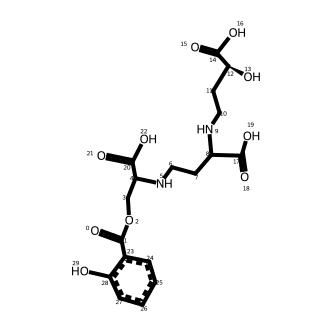 O=C(OCC(NCCC(NCC[C@H](O)C(=O)O)C(=O)O)C(=O)O)c1ccccc1O